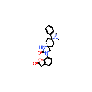 CN(C)[C@]1(c2ccccc2)CC[C@]2(CC1)CN(c1cccc3c1OC(=O)C3)C(=O)N2